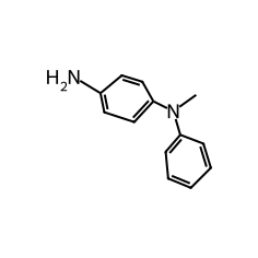 CN(c1ccccc1)c1ccc(N)cc1